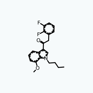 CCCCn1cc(C(=O)Cc2cccc(F)c2F)c2cccc(OC)c21